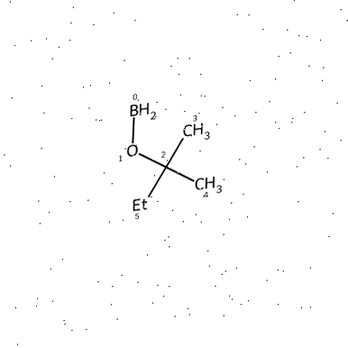 BOC(C)(C)CC